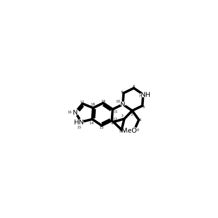 COCC1(C2CC2)CNCCN1c1ccc2[nH]ncc2c1